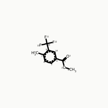 COC(=O)c1ccc(C)c(C(F)(F)F)c1